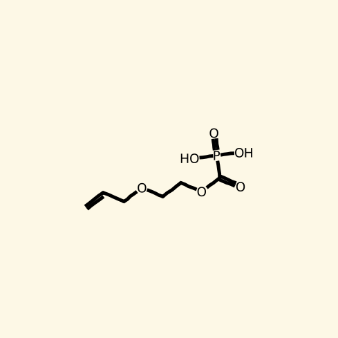 C=CCOCCOC(=O)P(=O)(O)O